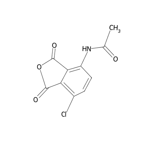 CC(=O)Nc1ccc(Cl)c2c1C(=O)OC2=O